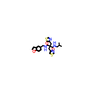 CC(C)CNC(=O)C(Cc1cscn1)(Cc1cscn1)C(=O)NCc1ccc2occc2c1